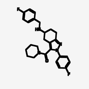 O=C(c1c2c(nn1-c1ccc(F)cc1)CCC(NCc1ccc(F)cc1)C2)N1CCCCC1